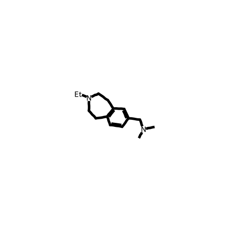 CCN1CCc2ccc(CN(C)C)cc2CC1